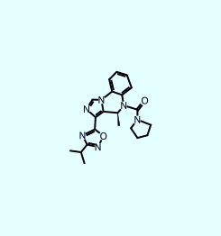 CC(C)c1noc(-c2ncn3c2[C@H](C)N(C(=O)N2CCCC2)c2ccccc2-3)n1